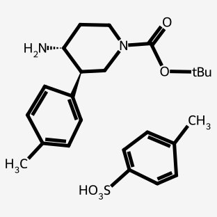 Cc1ccc(S(=O)(=O)O)cc1.Cc1ccc([C@@H]2CN(C(=O)OC(C)(C)C)CC[C@H]2N)cc1